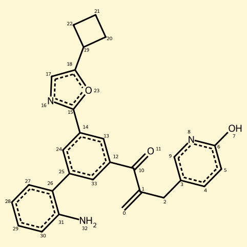 C=C(Cc1ccc(O)nc1)C(=O)c1cc(-c2ncc(C3CCC3)o2)cc(-c2ccccc2N)c1